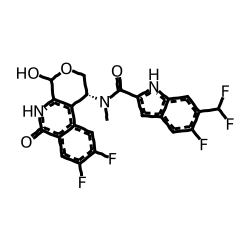 CN(C(=O)c1cc2cc(F)c(C(F)F)cc2[nH]1)[C@H]1COC(O)c2[nH]c(=O)c3cc(F)c(F)cc3c21